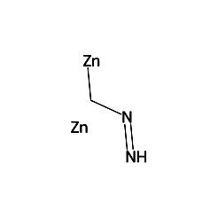 N=N[CH2][Zn].[Zn]